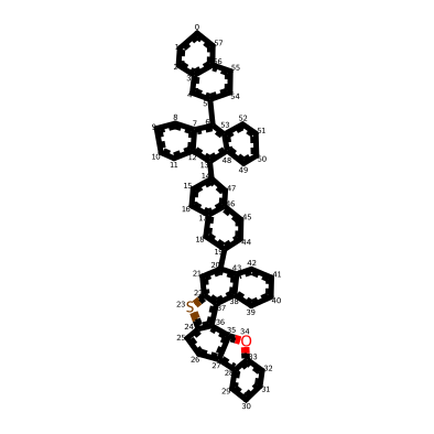 c1ccc2cc(-c3c4ccccc4c(-c4ccc5cc(-c6cc7sc8ccc9c%10ccccc%10oc9c8c7c7ccccc67)ccc5c4)c4ccccc34)ccc2c1